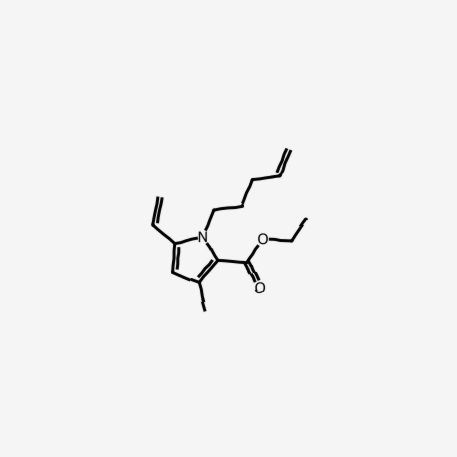 C=CCCCn1c(C=C)cc(C)c1C(=O)OCC